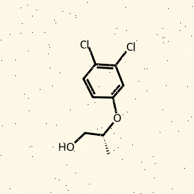 C[C@H](CO)Oc1ccc(Cl)c(Cl)c1